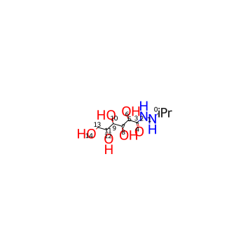 CC(C)NNC(=O)[C@H](O)[C@@H](O)[C@H](O)[C@H](O)CO